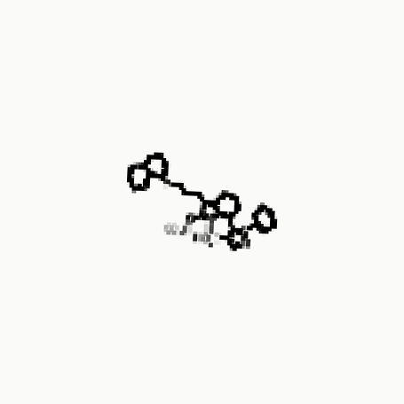 O=C(O)Oc1[nH]c2c(-c3c(C(=O)O)cnn3-c3ccccc3)cccc2c1CCCOc1cccc2ccccc12